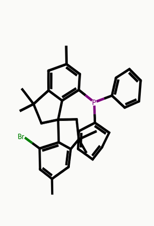 Cc1cc(Br)c2c(c1)C(C)(C)CC21CC(C)(C)c2cc(C)cc(P(c3ccccc3)c3ccccc3)c21